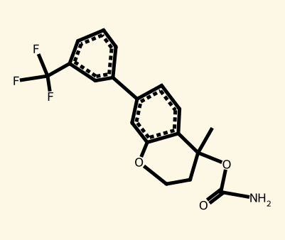 CC1(OC(N)=O)CCOc2cc(-c3cccc(C(F)(F)F)c3)ccc21